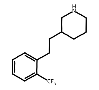 FC(F)(F)c1ccccc1CCC1CCCNC1